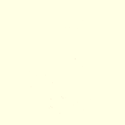 CCOC(=O)CCCCCOc1ccccc1Cn1c(C(F)(F)F)cnc1-c1ccc(F)cc1